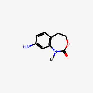 CCN1C(=O)OCCc2ccc(N)cc21